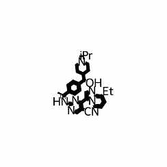 CCc1cccn2c(-c3nc(N[C@@H](C)c4ccc(C(O)C5CCN(C(C)C)CC5)cc4)ncc3C#N)cnc12